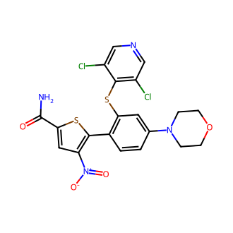 NC(=O)c1cc([N+](=O)[O-])c(-c2ccc(N3CCOCC3)cc2Sc2c(Cl)cncc2Cl)s1